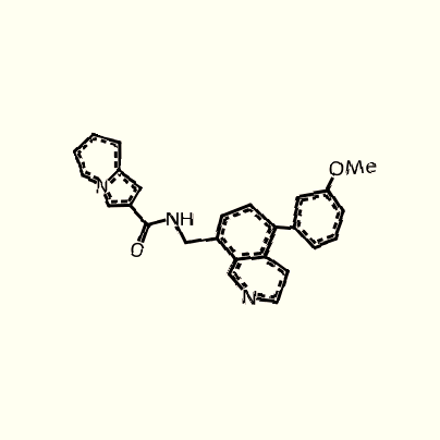 COc1cccc(-c2ccc(CNC(=O)c3cc4ccccn4c3)c3cnccc23)c1